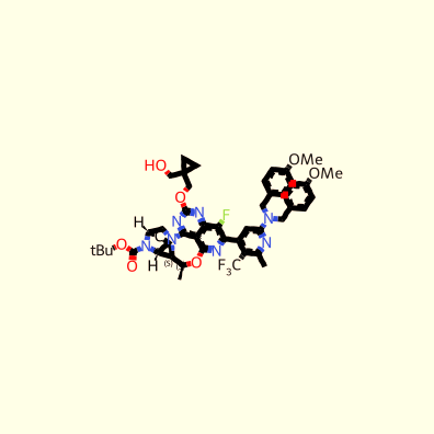 COc1ccc(CN(Cc2ccc(OC)cc2)c2cc(-c3nc4c5c(nc(OCC6(CO)CC6)nc5c3F)N3C[C@H]5CC6[C@H](N5C(=O)OC(C)(C)C)[C@]63[C@H](C)O4)c(C(F)(F)F)c(C)n2)cc1